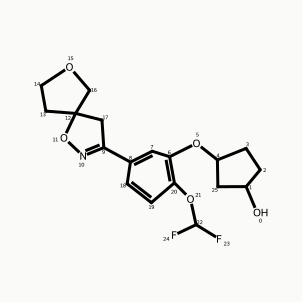 OC1CCC(Oc2cc(C3=NOC4(CCOC4)C3)ccc2OC(F)F)C1